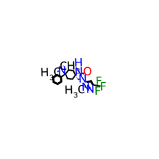 Cn1nc(C(F)(F)F)cc1N1C[C@]2(CC[C@@](c3ccccc3)(N(C)C)CC2)NC1=O